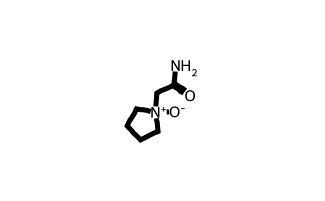 NC(=O)C[N+]1([O-])CCCC1